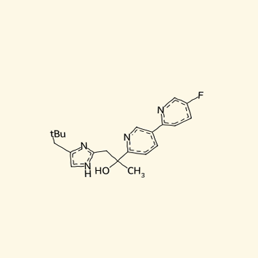 CC(C)(C)Cc1c[nH]c(CC(C)(O)c2ccc(-c3ccc(F)cn3)cn2)n1